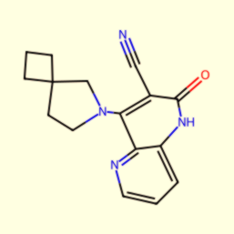 N#Cc1c(N2CCC3(CCC3)C2)c2ncccc2[nH]c1=O